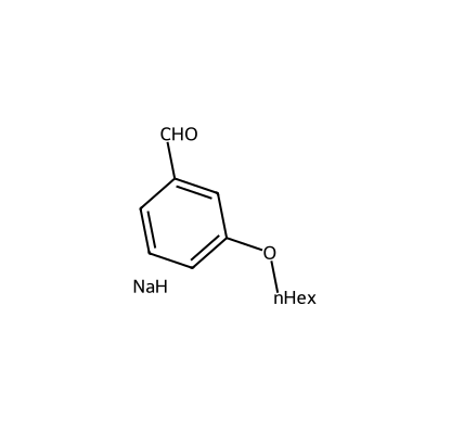 CCCCCCOc1cccc(C=O)c1.[NaH]